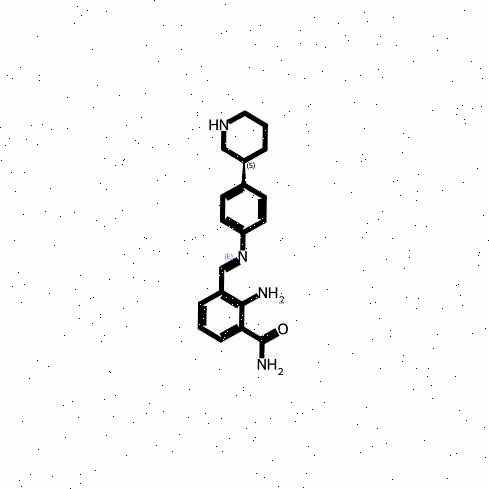 NC(=O)c1cccc(/C=N/c2ccc([C@@H]3CCCNC3)cc2)c1N